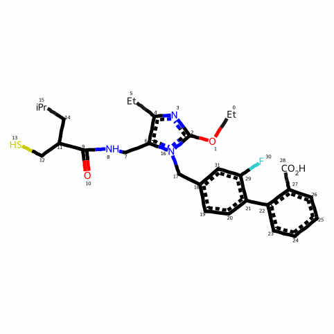 CCOc1nc(CC)c(CNC(=O)C(CS)CC(C)C)n1Cc1ccc(-c2ccccc2C(=O)O)c(F)c1